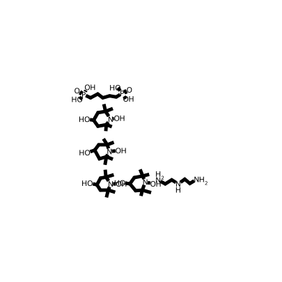 CC1(C)CC(O)CC(C)(C)N1O.CC1(C)CC(O)CC(C)(C)N1O.CC1(C)CC(O)CC(C)(C)N1O.CC1(C)CC(O)CC(C)(C)N1O.NCCNCCN.O=P(O)(O)CCCCCP(=O)(O)O